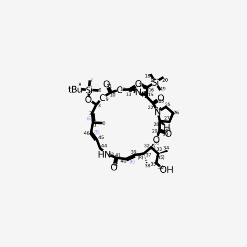 CC1=C\C(O[Si](C)(C)C(C)(C)C)CC(=O)Cc2nc(c([Si](C)(C)C)o2)C(=O)N2CCC[C@@H]2C(=O)O[C@H]([C@@H](C)CO)[C@H](C)/C=C/C(=O)NC\C=C\1